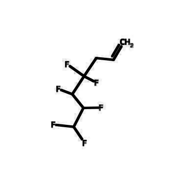 C=CCC(F)(F)C(F)C(F)C(F)F